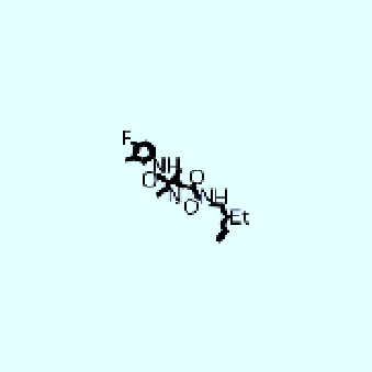 C=CCC(CC)CCNC(=O)C(=O)c1c(C)c(C(=O)Nc2ccc(F)c(C)c2)c(C)n1C